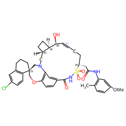 COc1ccc(C)c(NC(=O)C[C@H]2CC/C=C/[C@H](O)[C@@H]3CC[C@H]3CN3C[C@@]4(CCCc5cc(Cl)ccc54)COc4ccc(cc43)C(=O)NS2(=O)=O)c1